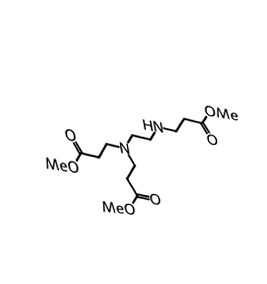 COC(=O)CCNCCN(CCC(=O)OC)CCC(=O)OC